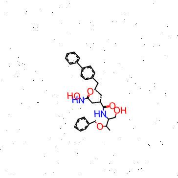 CC(OCc1ccccc1)C(CO)NC(=O)C(CCCc1ccc(-c2ccccc2)cc1)CC(=O)NO